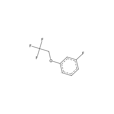 Fc1cc[c]c(OCC(F)(F)F)c1